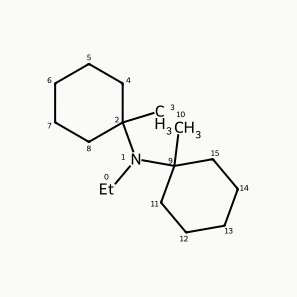 CCN(C1(C)CCCCC1)C1(C)CCCCC1